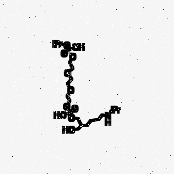 CC(C)NCCCCC(CO)COP(=O)(O)OCCOCCOCCOP(=O)(O)OC(C)C